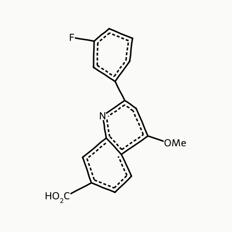 COc1cc(-c2cccc(F)c2)nc2cc(C(=O)O)ccc12